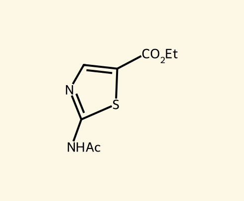 CCOC(=O)c1cnc(NC(C)=O)s1